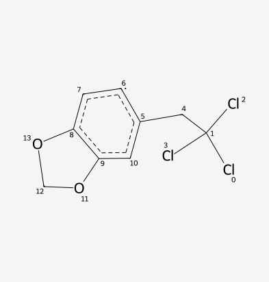 ClC(Cl)(Cl)Cc1[c]cc2c(c1)OCO2